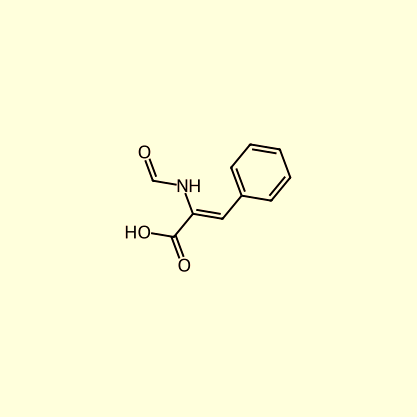 O=CNC(=Cc1ccccc1)C(=O)O